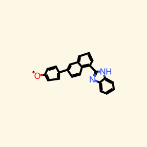 COc1ccc(-c2ccc3c(-c4nc5ccccc5[nH]4)cccc3c2)cc1